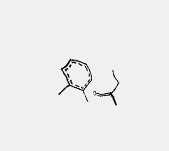 CCC(C)=O.Cc1ccccc1C